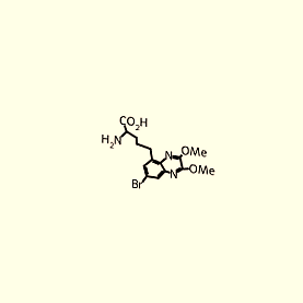 COc1nc2cc(Br)cc(CCCC(N)C(=O)O)c2nc1OC